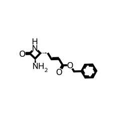 N[C@H]1C(=O)N[C@@H]1CC=CC(=O)OCc1ccccc1